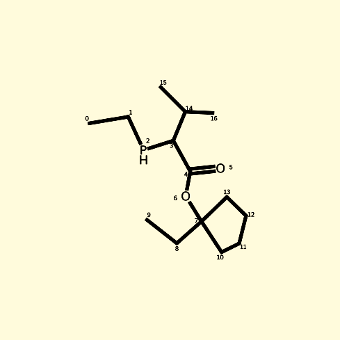 CCPC(C(=O)OC1(CC)CCCC1)C(C)C